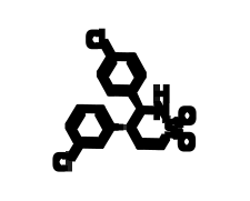 O=S1(=O)C=C[C@H](c2cccc(Cl)c2)[C@@H](c2ccc(Cl)cc2)N1